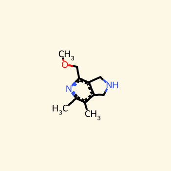 COCc1nc(C)c(C)c2c1CNC2